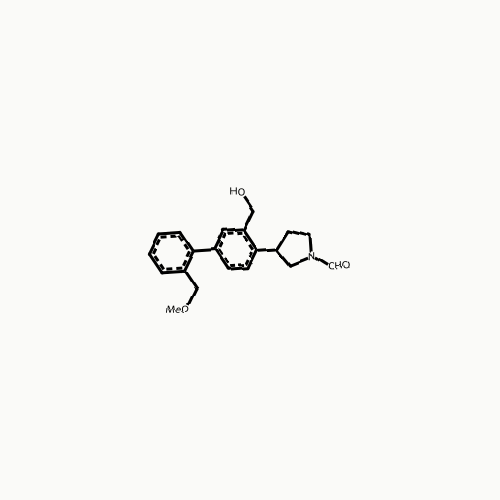 COCc1ccccc1-c1ccc(C2CCN(C=O)C2)c(CO)c1